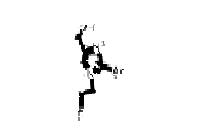 CC(=O)c1nc(CO)cn1CCF